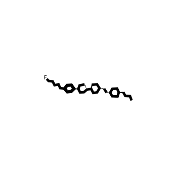 CCCC[C@H]1CC[C@H](CC[C@H]2CC[C@H]([C@H]3CC[C@H](c4ccc(CCCCCF)cc4)CC3)CC2)CC1